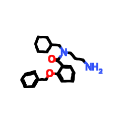 NCCCN(CC1CCCCC1)C(=O)c1ccccc1OCc1ccccc1